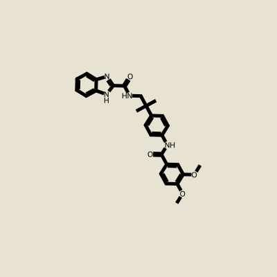 COc1ccc(C(=O)Nc2ccc(C(C)(C)CNC(=O)c3nc4ccccc4[nH]3)cc2)cc1OC